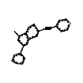 Cc1cc(-c2ccccc2)cc2cc(C#Cc3ccncc3)ccc12